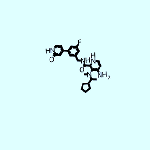 CC(C1CCCC1)N(C)C1=C(N)C=CNC1C(=O)NCc1cc(F)cc(-c2cc[nH]c(=O)c2)c1